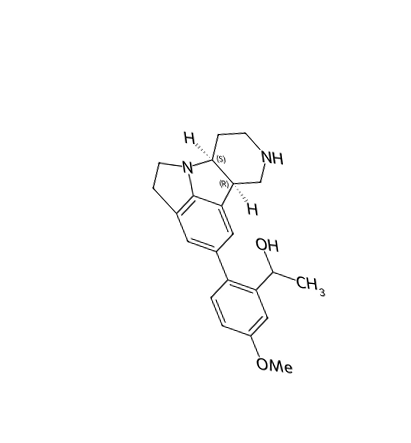 COc1ccc(-c2cc3c4c(c2)[C@@H]2CNCC[C@@H]2N4CC3)c(C(C)O)c1